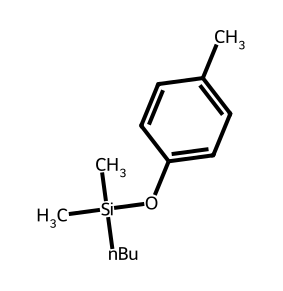 CCCC[Si](C)(C)Oc1ccc(C)cc1